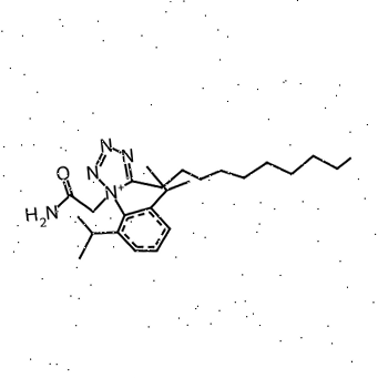 CCCCCCCCCCC1=NN=N[N+]1(CC(N)=O)c1c(C(C)C)cccc1C(C)C